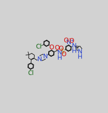 CC1(C)CCC(CN2CCN(c3ccc(C(=O)NS(=O)(=O)c4ccc(N[C@H]5CCNC5)c([N+](=O)[O-])c4)c(Oc4cccc(Cl)c4)c3)CC2)=C(c2ccc(Cl)cc2)C1